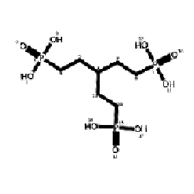 O=P(O)(O)CCC(CCP(=O)(O)O)CCP(=O)(O)O